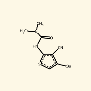 CN(C)C(=O)Nc1scc(C(C)(C)C)c1C#N